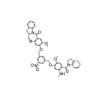 CNc1cc(OCc2cc(COc3cc4c(cc3OC)C(=O)N3c5ccccc5CC3C=N4)cc([N+](=O)[O-])c2)c(OC)cc1C(=O)N1CCC2=C1C=CCC2